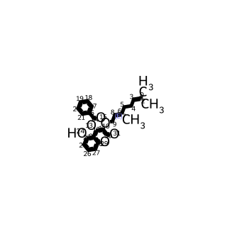 CC(C)=CCC/C(C)=C/COc1c(OC(=O)c2ccccc2)c2c(O)cccc2oc1=O